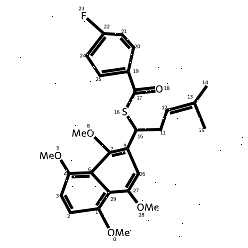 COc1ccc(OC)c2c(OC)c(C(CC=C(C)C)SC(=O)c3ccc(F)cc3)cc(OC)c12